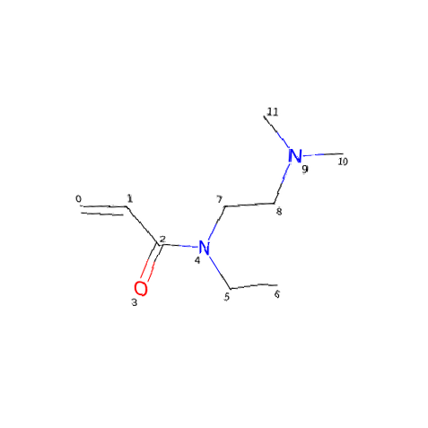 C=CC(=O)N(CC)CCN(C)C